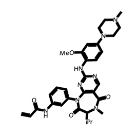 C=CC(=O)Nc1cccc(N2C(=O)C(C(C)C)N(C)C(=O)c3cnc(Nc4ccc(N5CCN(C)CC5)cc4OC)nc32)c1